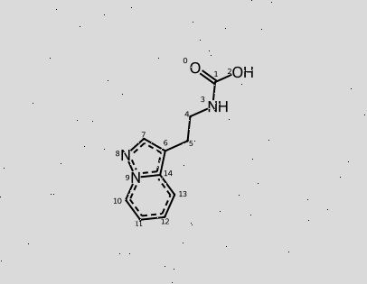 O=C(O)NCCc1cnn2ccccc12